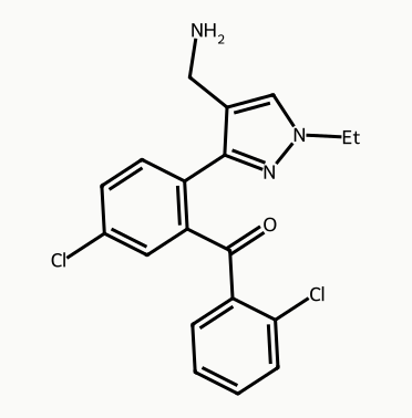 CCn1cc(CN)c(-c2ccc(Cl)cc2C(=O)c2ccccc2Cl)n1